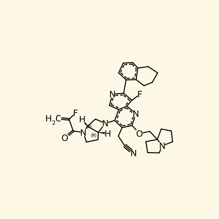 C=C(F)C(=O)N1CC[C@@H]2[C@H]1CN2c1c(CC#N)c(OCC23CCCN2CCC3)nc2c(F)c(-c3cccc4c3CCCC4)ncc12